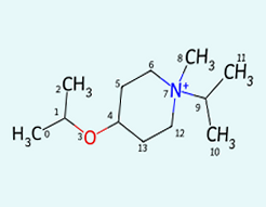 CC(C)OC1CC[N+](C)(C(C)C)CC1